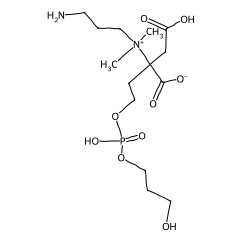 C[N+](C)(CCCN)C(CCOP(=O)(O)OCCCO)(CC(=O)O)C(=O)[O-]